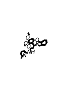 CCOc1ccc(C(CC(=O)Nc2cccc(C)n2)N2Cc3ccccc3C2=O)cc1OC